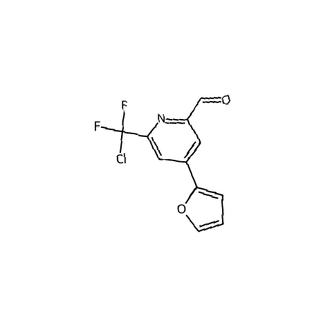 O=Cc1cc(-c2ccco2)cc(C(F)(F)Cl)n1